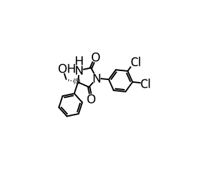 O=C1N[C@](CO)(c2ccccc2)C(=O)N1c1ccc(Cl)c(Cl)c1